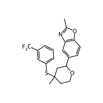 Cc1nc2cc(C3CC(C)(Sc4cccc(C(F)(F)F)c4)CCO3)ccc2o1